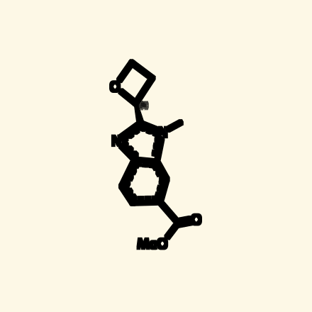 COC(=O)c1ccc2nc([C@@H]3CCO3)n(C)c2c1